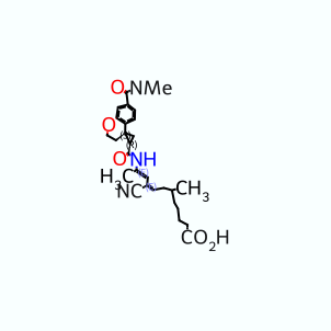 CNC(=O)c1ccc2c(c1)OCC[C@]21C[C@H]1C(=O)N/C(C)=C/C(C#N)=C\CC(C)CCCCC(=O)O